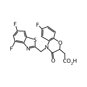 O=C(O)CC1Oc2ccc(F)cc2N(Cc2nc3c(F)cc(F)cc3s2)C1=O